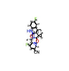 Cc1c(C2(C(=O)N[C@@H](C)c3ncc(C#N)cc3F)CC2)c(=O)[nH]c2ccc(F)cc12